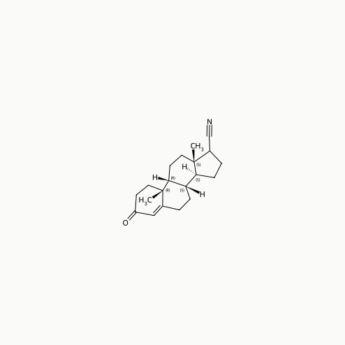 C[C@]12CCC(=O)C=C1CC[C@@H]1[C@H]2CC[C@]2(C)C(C#N)CC[C@@H]12